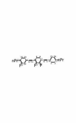 CCCc1ccc(C#Cc2ccc(C#Cc3ccc(CCC)c(F)c3)c(F)c2F)cc1